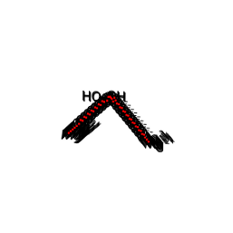 O=S(=O)(O)O.O=S(=O)(O)O.O=S(=O)([O-])[O-].O=S(=O)([O-])[O-].O=S(=O)([O-])[O-].O=S(=O)([O-])[O-].O=S(=O)([O-])[O-].O=S(=O)([O-])[O-].O=S(=O)([O-])[O-].O=S(=O)([O-])[O-].O=S(=O)([O-])[O-].O=S(=O)([O-])[O-].O=S(=O)([O-])[O-].O=S(=O)([O-])[O-].O=S(=O)([O-])[O-].O=S(=O)([O-])[O-].O=S(=O)([O-])[O-].O=S(=O)([O-])[O-].O=S(=O)([O-])[O-].O=S(=O)([O-])[O-].O=S(=O)([O-])[O-].[Mg+2].[Mg+2].[Mg+2].[Mg+2].[Mg+2].[Mg+2].[Mg+2].[Mg+2].[Mg+2].[Mg+2].[Mg+2].[Mg+2].[Mg+2].[Mg+2].[Mg+2].[Mg+2].[Mg+2].[Mg+2].[Mg+2]